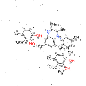 CCCCCCC(=Nc1cc(C)cc(C)c1)C(CCCC)=Nc1cc(C)cc(C)c1.CCc1ccc(O)c(O)c1C(=O)[O-].CCc1ccc(O)c(O)c1C(=O)[O-].[Pd+2]